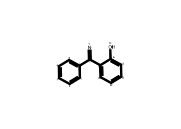 [N]=C(c1ccccc1)c1ccccc1O